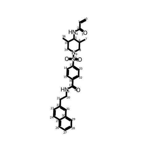 C=CC(=O)NC1C(C)CN(S(=O)(=O)c2ccc(C(=O)NCCc3ccc4ccccc4c3)cc2)CC1C